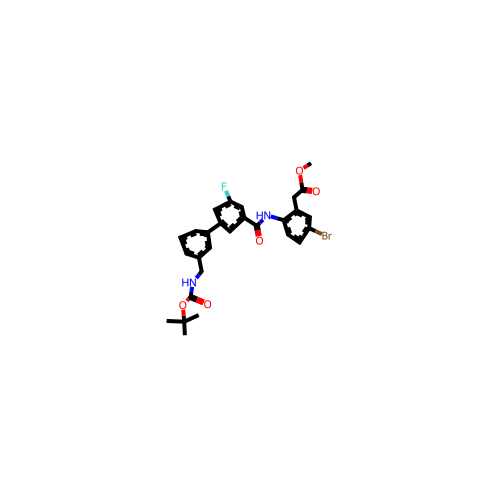 COC(=O)Cc1cc(Br)ccc1NC(=O)c1cc(F)cc(-c2cccc(CNC(=O)OC(C)(C)C)c2)c1